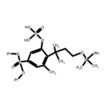 Cc1cc(P(=O)(OC(C)C)OC(C)C)cc(OP(=O)(O)O)c1C(C)(C)CCO[Si](C)(C)C(C)(C)C